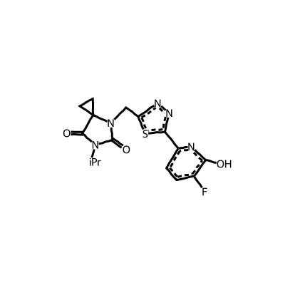 CC(C)N1C(=O)N(Cc2nnc(-c3ccc(F)c(O)n3)s2)C2(CC2)C1=O